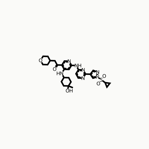 CC1(O)CCC(Nc2cc(Nc3ccnc(-c4cnn(S(=O)(=O)C5CC5)c4)n3)ncc2C(=O)CC2CCOCC2)CC1